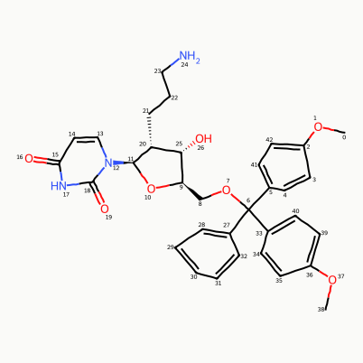 COc1ccc(C(OC[C@H]2O[C@@H](n3ccc(=O)[nH]c3=O)[C@H](CCCN)[C@@H]2O)(c2ccccc2)c2ccc(OC)cc2)cc1